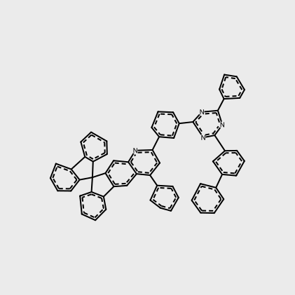 c1ccc(-c2cccc(-c3nc(-c4ccccc4)nc(-c4cccc(-c5cc(-c6ccccc6)c6cc7c(cc6n5)C5(c6ccccc6-c6ccccc65)c5ccccc5-7)c4)n3)c2)cc1